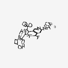 O=C(NC1CCC1O)c1nc(C(=O)N2C3CCC2CC3)c(-c2cnc(NCC(F)(F)F)cc2C(F)F)s1